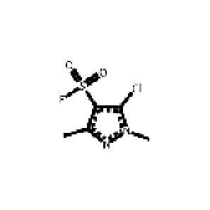 Cc1nn(C)c(Cl)c1S(=O)(=O)F